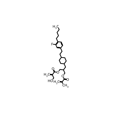 C=C(C)C(=O)OCC(COC(=O)C(=C)CO)CC1CCC(CCc2ccc(CCCCC)c(F)c2)CC1